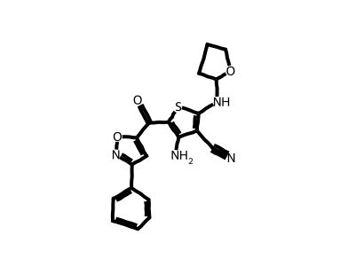 N#Cc1c(NC2CCCO2)sc(C(=O)c2cc(-c3ccccc3)no2)c1N